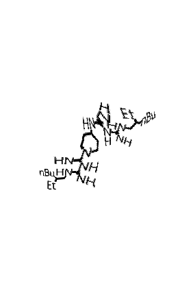 CCCCC(CC)CNC(=N)NC(=N)NC1CCN(C(=N)NC(=N)NCC(CC)CCCC)CC1